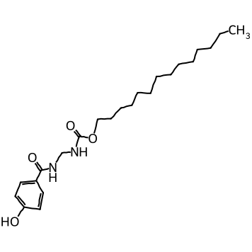 CCCCCCCCCCCCCCOC(=O)NCNC(=O)c1ccc(O)cc1